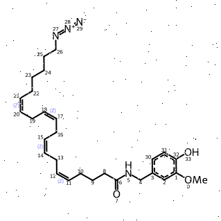 COc1cc(CNC(=O)CCC/C=C\C/C=C\C/C=C\C/C=C\CCCCCN=[N+]=[N-])ccc1O